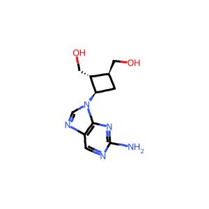 Nc1ncc2ncn([C@@H]3C[C@H](CO)[C@H]3CO)c2n1